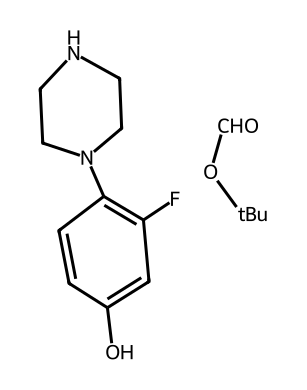 CC(C)(C)OC=O.Oc1ccc(N2CCNCC2)c(F)c1